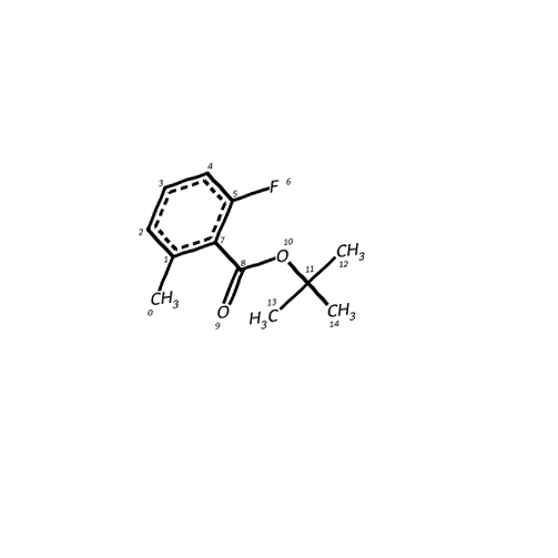 Cc1cccc(F)c1C(=O)OC(C)(C)C